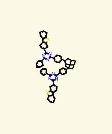 c1ccc(-c2nc(-c3ccc(C45CC6CC7CC(c8ccc(-c9nc(-c%10ccccc%10)nc(-c%10ccc%11c(c%10)sc%10ccccc%10%11)n9)cc8)(C4)C67C5)cc3)nc(-c3ccc4c(c3)sc3ccccc34)n2)cc1